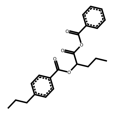 CCCc1ccc(C(=O)OC(CCC)C(=O)OC(=O)c2ccccc2)cc1